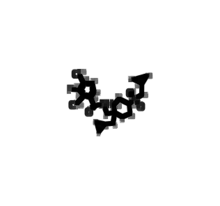 O=C(NCC1(CC2CC2)CCC(S(=O)(=O)CC2CC2)CC1)c1ccc(Cl)c(F)c1Cl